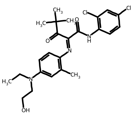 CCN(CCO)c1ccc(/N=C(/C(=O)Nc2ccc(Cl)cc2Cl)C(=O)C(C)(C)C)c(C)c1